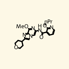 CCCOc1ncccc1C(=O)Nc1cn2cc(C3CCOCC3)nc2c(OC)n1